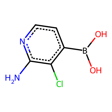 Nc1nccc(B(O)O)c1Cl